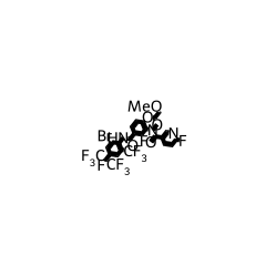 COCC(=O)ON(C(=O)c1ccc(F)nc1)c1cccc(C(=O)Nc2c(Br)cc(C(F)(C(F)(F)F)C(F)(F)F)cc2C(F)(F)F)c1F